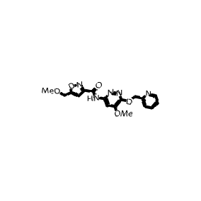 COCc1cc(C(=O)Nc2cc(OC)c(OCc3ccccn3)nn2)no1